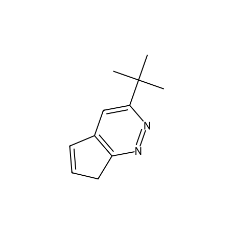 CC(C)(C)c1cc2c(nn1)CC=C2